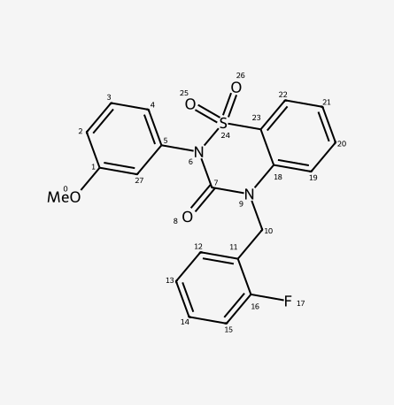 COc1cccc(N2C(=O)N(Cc3ccccc3F)c3ccccc3S2(=O)=O)c1